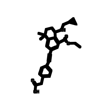 CCOC(=O)c1cc(C#Cc2ccc(CC(=O)O)cc2)cc2c1C(NCC1CC1)CCC2(C)C